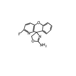 NC1=NC2(CO1)c1ccccc1Oc1ccc(F)nc12